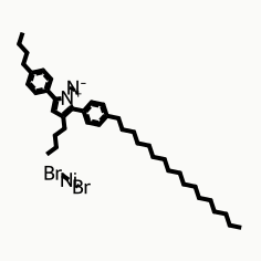 CCCCCCCCCCCCCCCCCc1ccc(C2=C(CCCC)C=C(c3ccc(CCCC)cc3)[N+]2=[N-])cc1.[Br][Ni][Br]